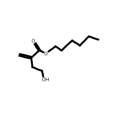 C=C(CCO)C(=O)OCCCCCC